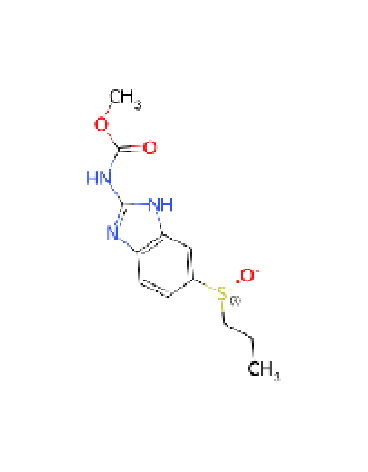 CCC[S@+]([O-])c1ccc2nc(NC(=O)OC)[nH]c2c1